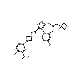 Fc1ccc(N2CC3(CC(c4nnc5n4-c4ccc(Cl)cc4CN(CC4(F)COC4)C5)C3)C2)nc1C(F)F